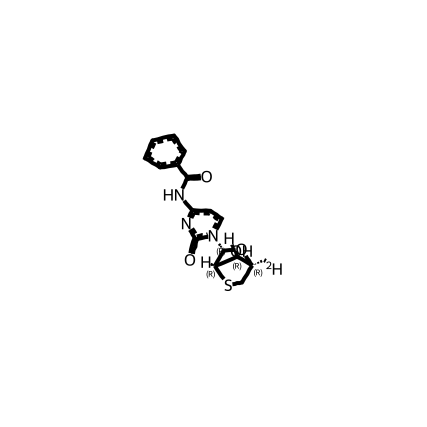 [2H]C[C@@]12CS[C@@H]([C@H](n3ccc(NC(=O)c4ccccc4)nc3=O)O1)[C@@H]2O